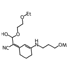 CCOCCOC(O)/C(C#N)=C1\C=C(NCCCOC)CCC1